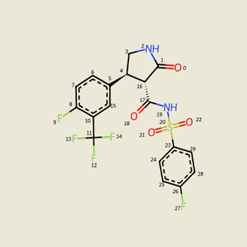 O=C1NC[C@H](c2ccc(F)c(C(F)(F)F)c2)[C@H]1C(=O)NS(=O)(=O)c1ccc(F)cc1